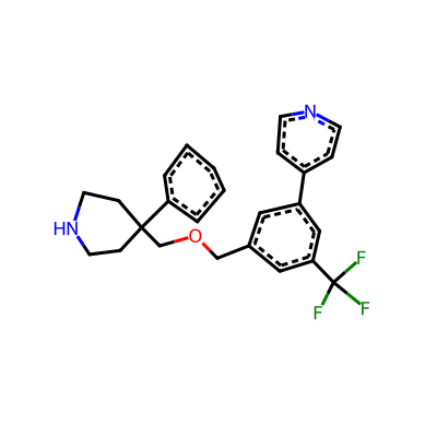 FC(F)(F)c1cc(COCC2(c3ccccc3)CCNCC2)cc(-c2ccncc2)c1